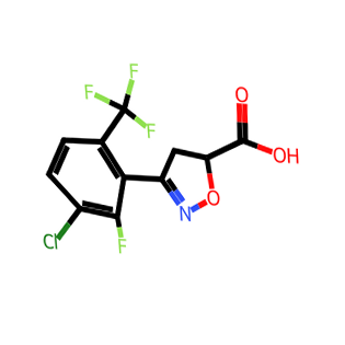 O=C(O)C1CC(c2c(C(F)(F)F)ccc(Cl)c2F)=NO1